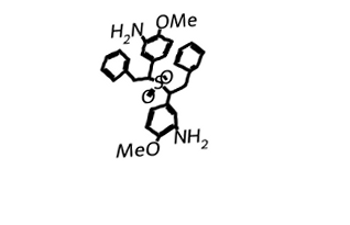 COc1ccc(C(Cc2ccccc2)S(=O)(=O)C(Cc2ccccc2)c2ccc(OC)c(N)c2)cc1N